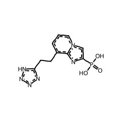 O=P(O)(O)c1cn2cccc(CCc3nnn[nH]3)c2n1